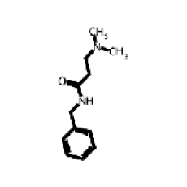 CN(C)CCC(=O)NCc1ccccc1